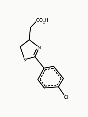 O=C(O)CC1CSC(c2ccc(Cl)cc2)=N1